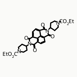 CCOC(=O)N1CCC(N2C(=O)c3ccc4c5c(ccc(c35)C2=O)C(=O)N(C2CCN(C(=O)OCC)CC2)C4=O)CC1